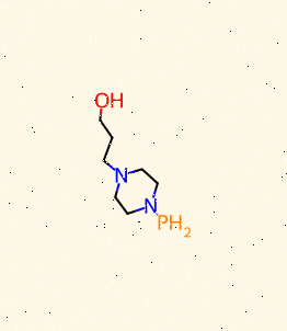 OCCCN1CCN(P)CC1